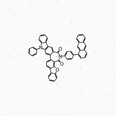 O=c1c2cc3c4ccccc4n(-c4ccccc4)c3cc2c2ccc3c4ccccc4oc3c2c(=O)n1-c1ccc(-c2cccc3cc4ccccc4cc23)cc1